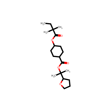 CCC(C)(C)C(=O)OC1CCC(C(=O)OC(C)(C)C2CCCO2)CC1